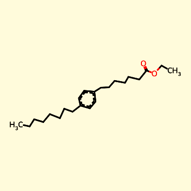 CCCCCCCCc1ccc(CCCCCCC(=O)OCC)cc1